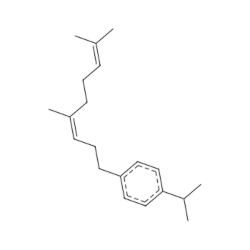 CC(C)=CCCC(C)=CCCc1ccc(C(C)C)cc1